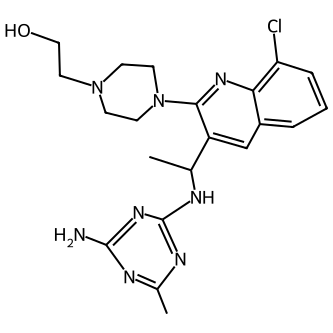 Cc1nc(N)nc(NC(C)c2cc3cccc(Cl)c3nc2N2CCN(CCO)CC2)n1